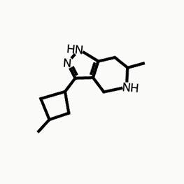 CC1CC(c2n[nH]c3c2CNC(C)C3)C1